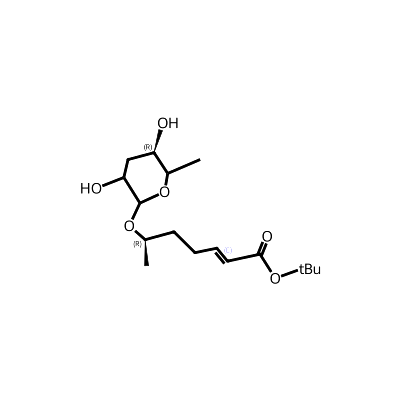 CC1OC(O[C@H](C)CC/C=C/C(=O)OC(C)(C)C)C(O)C[C@H]1O